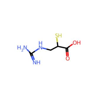 N=C(N)NCC(S)C(=O)O